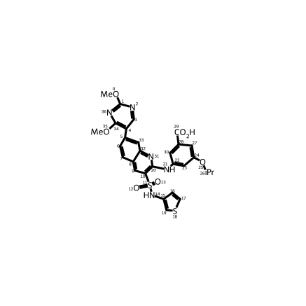 COc1ncc(-c2ccc3cc(S(=O)(=O)Nc4ccsc4)c(Nc4cc(OC(C)C)cc(C(=O)O)c4)nc3c2)c(OC)n1